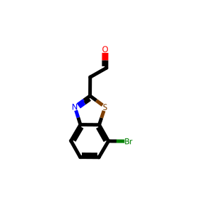 O=CCc1nc2cccc(Br)c2s1